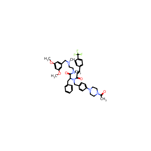 COc1cc(CN(C)CCN(C)C(=O)C(Cc2ccccc2)N(Cc2ccc(N3CCN(C(C)=O)CC3)cc2)C(=O)C=Cc2ccc(C(F)(F)F)cc2)cc(OC)c1